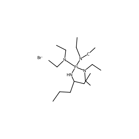 CCCC(CC)N[P+](N(CC)CC)(N(CC)CC)N(CC)CC.[Br-]